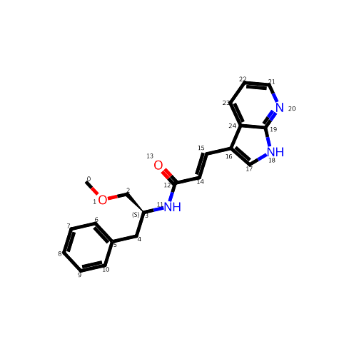 COC[C@H](Cc1ccccc1)NC(=O)C=Cc1c[nH]c2ncccc12